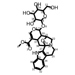 COC(=O)C1=COC(OC2OC(CO)C(O)C(O)C2O)C2C3CN4CCc5c([nH]c6ccccc56)C4(CC12)O3